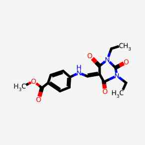 CCN1C(=O)C(=CNc2ccc(C(=O)OC)cc2)C(=O)N(CC)C1=O